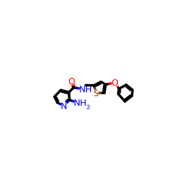 Nc1ncccc1C(=O)NCc1cc(Oc2ccccc2)cs1